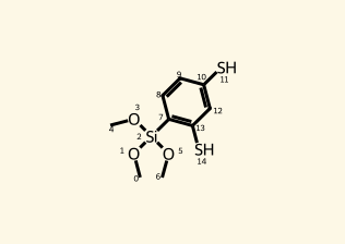 CO[Si](OC)(OC)c1ccc(S)cc1S